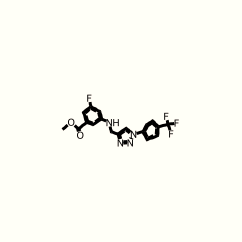 COC(=O)c1cc(F)cc(NCc2cn(-c3ccc(C(F)(F)F)cc3)nn2)c1